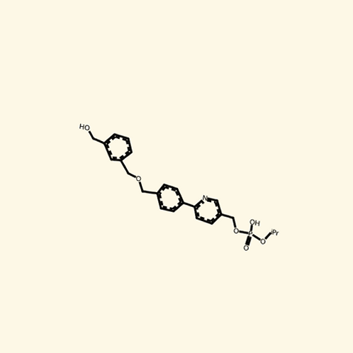 CC(C)OP(=O)(O)OCc1ccc(-c2ccc(COCc3cccc(CO)c3)cc2)nc1